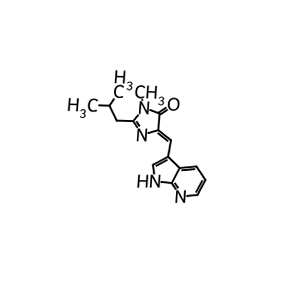 CC(C)CC1=N/C(=C\c2c[nH]c3ncccc23)C(=O)N1C